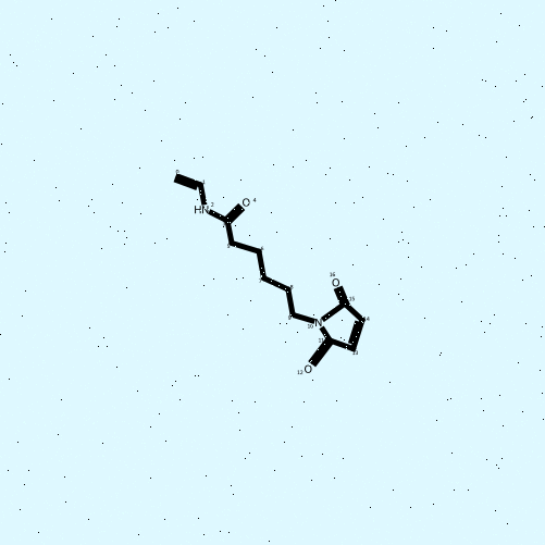 C=CNC(=O)CCCCCN1C(=O)C=CC1=O